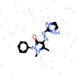 Cc1c(/N=N/c2ncc[nH]2)c(=O)n(-c2ccccc2)n1C